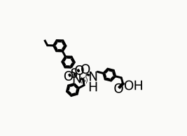 CCc1cccc(-c2ccc(S(=O)(=O)N3c4ccccc4C[C@H]3C(=O)NCc3ccc(CC(=O)O)cc3)cc2)c1